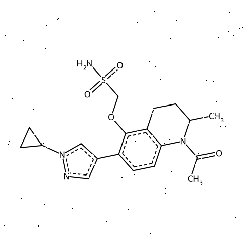 CC(=O)N1c2ccc(-c3cnn(C4CC4)c3)c(OCS(N)(=O)=O)c2CCC1C